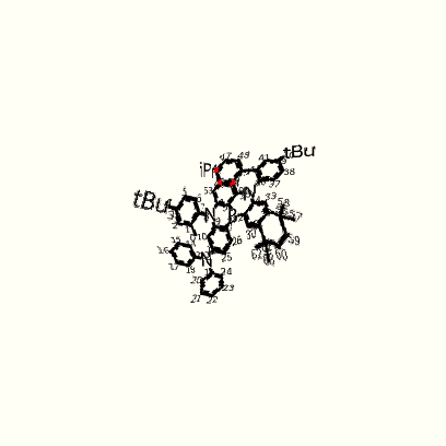 Cc1cc(C(C)(C)C)ccc1N1c2cc(N(c3ccccc3)c3ccccc3)ccc2B2c3cc4c(cc3N(c3ccc(C(C)(C)C)cc3-c3ccccc3)c3cc(C(C)C)cc1c32)C(C)(C)CCC4(C)C